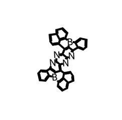 c1ccc2c(c1)B1c3c-2nc2nc4c5c6c(nc4nc2c3-c2cccc3cccc1c23)-c1ccccc1B6c1cccc2cccc-5c12